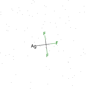 F[C](F)(F)[Ag]